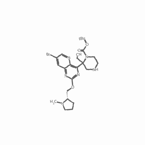 CN1CCC[C@H]1COc1nc(C2(CC#N)CNCCN2C(=O)OC(C)(C)C)c2ncc(Br)cc2n1